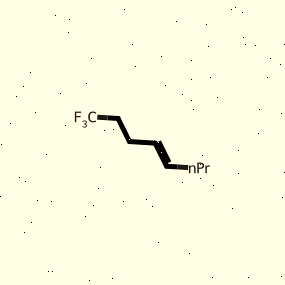 [CH2]CCC=CCCC(F)(F)F